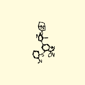 C=Nc1ccccc1Sc1cc(-c2cnn(C3CC4CCC(C3)N4C)c2C)cn2ncc(C#N)c12